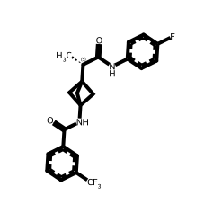 C[C@H](C(=O)Nc1ccc(F)cc1)C12CC(NC(=O)c3cccc(C(F)(F)F)c3)(C1)C2